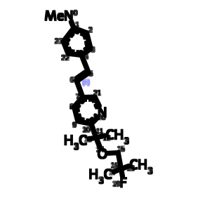 CNc1ccc(/C=C/c2ccc(C(C)(C)OCC(C)(C)F)nc2)cc1